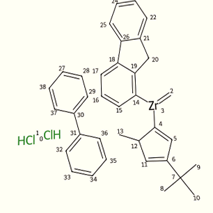 Cl.Cl.[CH2]=[Zr]([C]1=CC(C(C)(C)C)=CC1C)[c]1cccc2c1Cc1ccccc1-2.c1ccc(-c2ccccc2)cc1